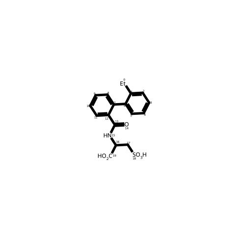 CCc1ccccc1-c1ccccc1C(=O)NC(CS(=O)(=O)O)C(=O)O